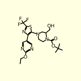 CCOc1ncc(-c2nc(C(F)(F)F)sc2N2CCN(C(=O)OC(C)(C)C)C(CO)C2)cn1